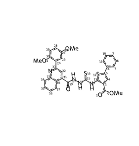 COC(=O)c1cc(-c2ccccc2)sc1NC(=S)NNC(=O)c1cc(-c2cc(OC)ccc2OC)nc2ccccc12